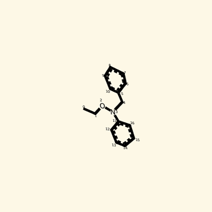 CCON(Cc1ccccc1)c1ccccc1